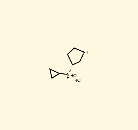 C1C[C@@H](NC2CC2)CN1.Cl.Cl